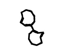 C1=C(\C2=C\C=C\CCCCC2)CCCCC/C=C/1